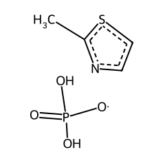 Cc1nccs1.[O]P(=O)(O)O